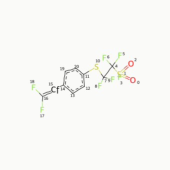 O=S(=O)(F)C(F)(F)C(F)(F)Sc1cc[c]([Cf]=[C](F)F)cc1